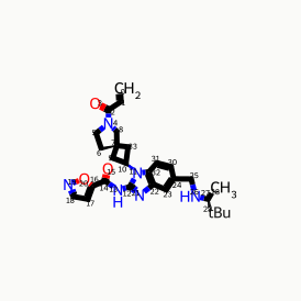 C=CC(=O)N1CC[C@]2(C1)C[C@H](n1c(NC(=O)c3ccno3)nc3cc(CN[C@@H](C)C(C)(C)C)ccc31)C2